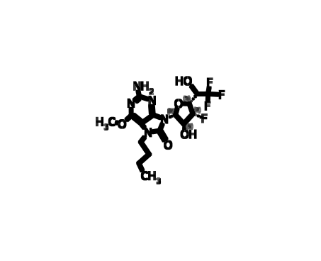 CCCCn1c(=O)n([C@@H]2O[C@H](C(O)C(F)(F)F)[C@H](F)[C@H]2O)c2nc(N)nc(OC)c21